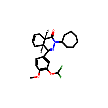 COc1ccc(C2=NN(C3CCCCCC3)C(=O)[C@H]3CC=CC[C@@H]23)cc1OC(F)F